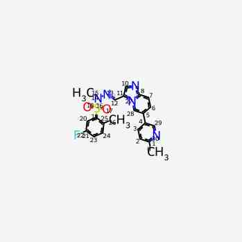 Cc1ccc(-c2ccc3ncc(/C=N/N(C)S(=O)(=O)c4cc(F)ccc4C)n3c2)cn1